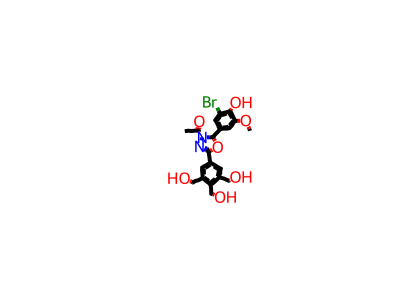 COc1cc(C2OC(c3cc(CO)c(CO)c(CO)c3)=NN2C(C)=O)cc(Br)c1O